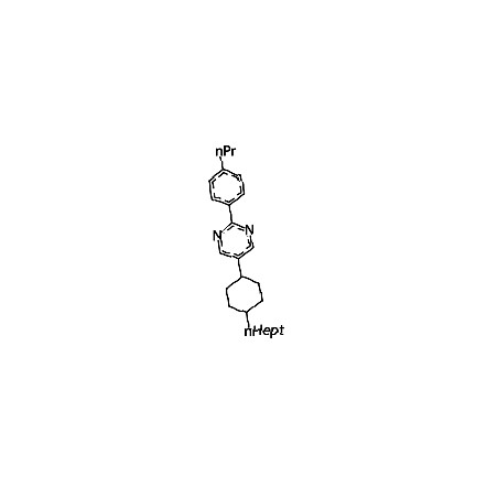 CCCCCCCC1CCC(c2cnc(-c3ccc(CCC)cc3)nc2)CC1